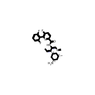 C=N/C=C(NC(=O)c1ccc(F)c(-c2c(F)cccc2F)n1)\C(=C/C)[C@@H]1C[C@H](C)C[C@H](N)C1